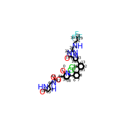 COc1nc(-c2cccc(-c3cccc(-c4cc5c(=O)n(C)c(CNCCC(F)(F)F)nn5c4)c3Cl)c2Cl)ccc1COC(=O)NCC1CCC(=O)N1